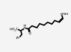 CCCCCC/C=C\CCCCCCCC(=O)NC(CC(C)C)C(=O)O